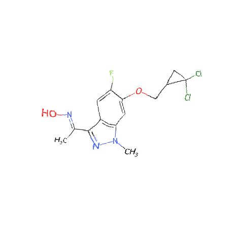 CC(=NO)c1nn(C)c2cc(OCC3CC3(Cl)Cl)c(F)cc12